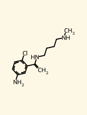 C=C(NCCCCNC)c1cc(N)ccc1Cl